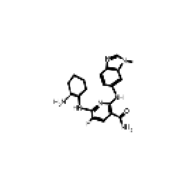 Cn1cnc2ccc(Nc3nc(NC4CCCC[C@@H]4N)c(F)cc3C(N)=O)cc21